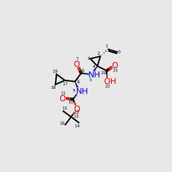 C=C[C@H]1C[C@@]1(NC(=O)[C@@H](NC(=O)OC(C)(C)C)C1CC1)C(=O)O